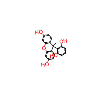 CC1(c2c(O)cccc2O)c2ccc(O)cc2Oc2cc(O)ccc21